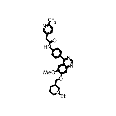 CCN1CCCC(COc2cc3ncnc(-c4ccc(NC(=O)Cc5ccc(C(F)(F)F)nc5)cc4)c3cc2OC)C1